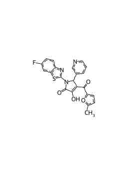 Cc1ccc(C(=O)C2=C(O)C(=O)N(c3nc4ccc(F)cc4s3)C2c2cccnc2)o1